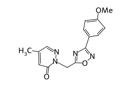 COc1ccc(-c2noc(Cn3ncc(C)cc3=O)n2)cc1